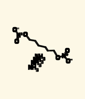 N.N.N.N.O=[N+]([O-])OCCCCCCO[N+](=O)[O-]